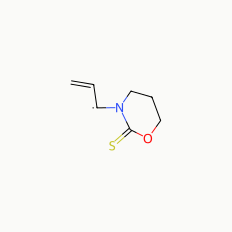 C=C[CH]N1CCCOC1=S